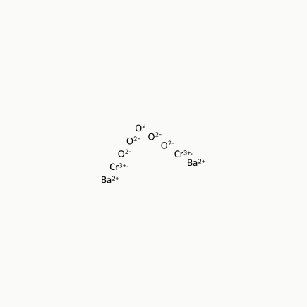 [Ba+2].[Ba+2].[Cr+3].[Cr+3].[O-2].[O-2].[O-2].[O-2].[O-2]